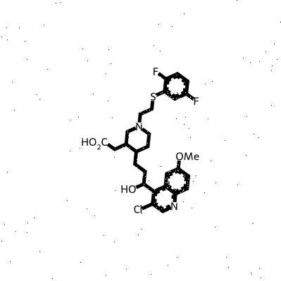 COc1ccc2ncc(Cl)c(C(O)CCC3CCN(CCSc4cc(F)ccc4F)CC3CC(=O)O)c2c1